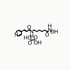 O=C(C=Cc1ccncc1)NCCCCCC(=O)NO.O=C(O)C(=O)O